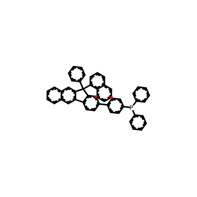 c1ccc(P(c2ccccc2)c2ccc(-c3ccc4c(c3)C(c3ccccc3)(c3cccc5ccccc35)c3cc5ccccc5cc3-4)cc2)cc1